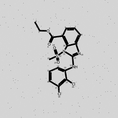 CCOC(=O)c1cccc2nc(Nc3cccc(Cl)c3Cl)n(S(C)(=O)=O)c12